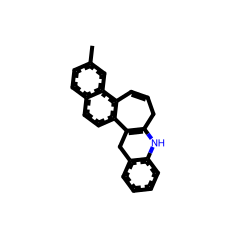 Cc1ccc2ccc3c(c2c1)C=CCC1=C3Cc2ccccc2N1